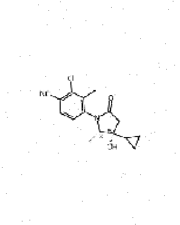 Cc1c(N2C(=O)C[C@@](O)(C3CC3)[C@@H]2C)ccc(C#N)c1Cl